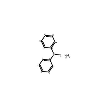 C[Si](c1ccccc1)c1ccccc1.N